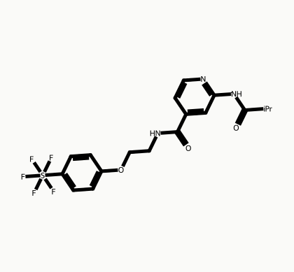 CC(C)C(=O)Nc1cc(C(=O)NCCOc2ccc(S(F)(F)(F)(F)F)cc2)ccn1